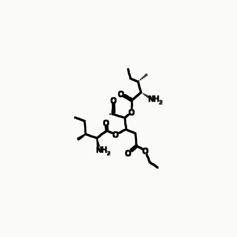 CCOC(=O)CC(OC(=O)[C@@H](N)[C@@H](C)CC)C([C]=O)OC(=O)[C@@H](N)[C@@H](C)CC